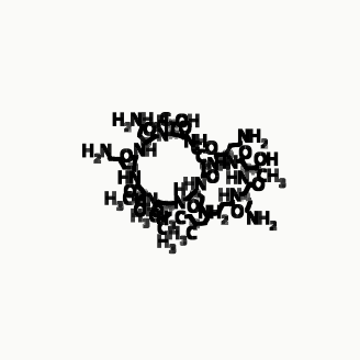 CC[C@H](C)CCCCC(=O)N[C@@H](CCN)C(=O)N[C@H](C(=O)N[C@H](CCN)C(=O)N[C@H]1CCNC(=O)[C@H]([C@@H](C)O)NC(=O)[C@H](CCN)NC(=O)[C@H](CCCN)NC(=O)[C@H]([C@@H](C)O)NC(=O)[C@@H](CC(C)C)NC(=O)[C@H](CCN)NC1=O)[C@@H](C)O